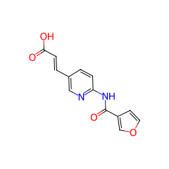 O=C(O)/C=C/c1ccc(NC(=O)c2ccoc2)nc1